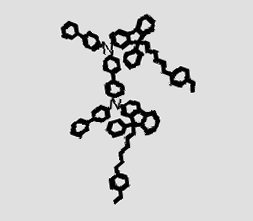 C=Cc1ccc(CCCCCCC2(c3ccccc3)c3ccccc3-c3ccc(N(c4ccc(-c5ccccc5)cc4)c4ccc(-c5ccc(N(c6ccc(-c7ccccc7)cc6)c6ccc7c(c6)C(CCCCCCc6ccc(C=C)cc6)(c6ccccc6)C6C=CC=CC76)cc5)cc4)cc32)cc1